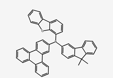 CC1(C)c2ccccc2-c2cc(N(c3ccc4c5ccccc5c5ccccc5c4c3)c3cccc4c3oc3ccccc34)ccc21